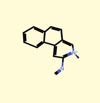 C=Nc1cc2c(ccc3ccccc32)c[n+]1C